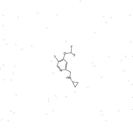 FC(F)Oc1cc(CNC2CC2)ncc1I